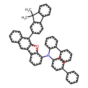 CC1(C)c2ccccc2-c2ccc(-c3c4ccccc4cc4c3oc3c(N(c5ccc(-c6ccccc6)cc5)c5ccccc5-c5ccccc5)cccc34)cc21